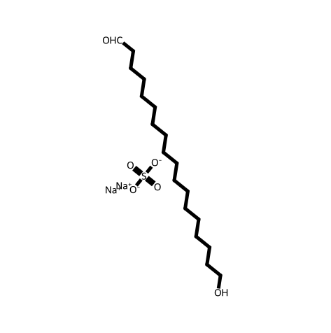 O=CCCCCCCCCCCCCCCCCCO.O=S(=O)([O-])[O-].[Na+].[Na+]